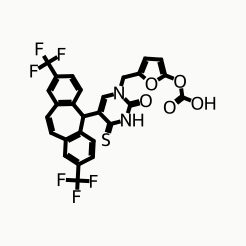 O=C(O)Oc1ccc(Cn2cc(C3c4ccc(C(F)(F)F)cc4C=Cc4cc(C(F)(F)F)ccc43)c(=S)[nH]c2=O)o1